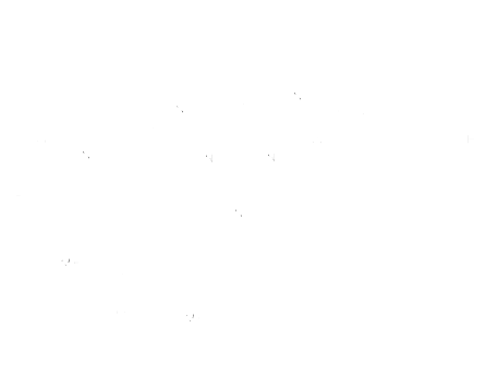 CCS(=O)(=O)Nc1ccccc1CNc1nc(Nc2ccc(C(=O)OC)c(OC)c2)nc2c1ccn2S(=O)(=O)c1ccc(C)cc1